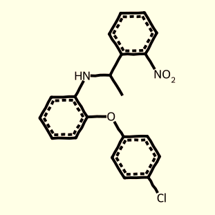 CC(Nc1ccccc1Oc1ccc(Cl)cc1)c1ccccc1[N+](=O)[O-]